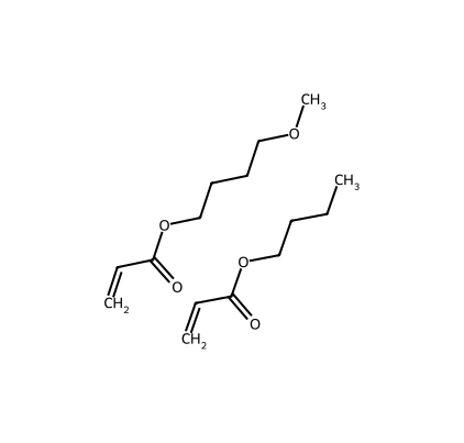 C=CC(=O)OCCCC.C=CC(=O)OCCCCOC